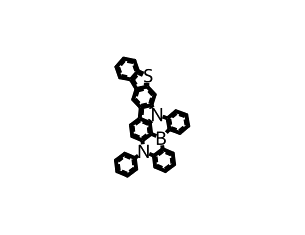 c1ccc(N2c3ccccc3B3c4ccccc4-n4c5cc6sc7ccccc7c6cc5c5ccc2c3c54)cc1